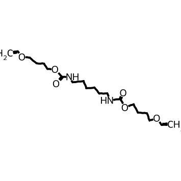 C=COCCCCOC(=O)NCCCCCCNC(=O)OCCCCOC=C